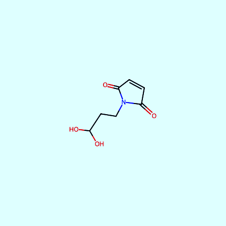 O=C1C=CC(=O)N1CCC(O)O